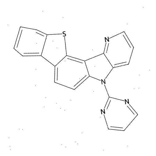 c1cnc(-n2c3cccnc3c3c4sc5ccccc5c4ccc32)nc1